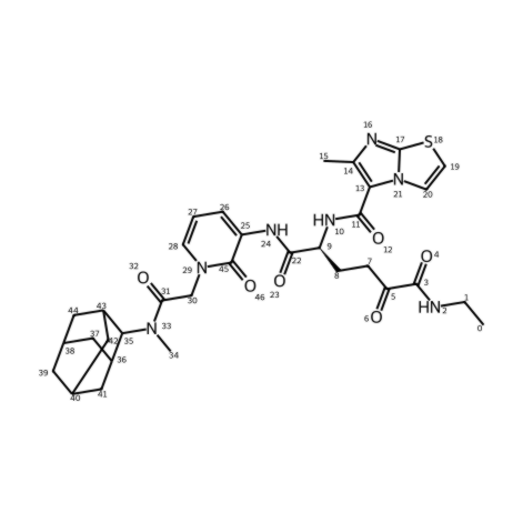 CCNC(=O)C(=O)CC[C@H](NC(=O)c1c(C)nc2sccn12)C(=O)Nc1cccn(CC(=O)N(C)C2C3CC4CC(C3)CC2C4)c1=O